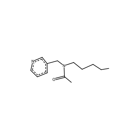 CCCCCN(Cc1cccnc1)C(C)=O